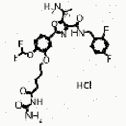 C[C@H](N)c1oc(-c2ccc(OC(F)F)c(OCCCCC(=O)NC(N)=O)c2)nc1C(=O)NCc1ccc(F)cc1F.Cl